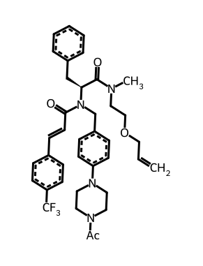 C=CCOCCN(C)C(=O)[C@H](Cc1ccccc1)N(Cc1ccc(N2CCN(C(C)=O)CC2)cc1)C(=O)C=Cc1ccc(C(F)(F)F)cc1